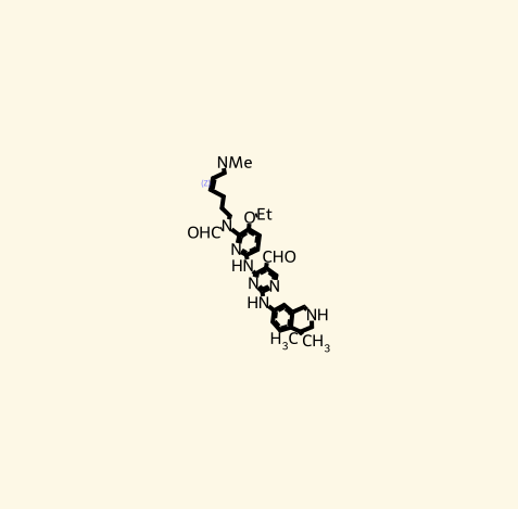 CCOc1ccc(Nc2nc(Nc3ccc4c(c3)CNCC4(C)C)ncc2C=O)nc1N(C=O)CCC/C=C\CNC